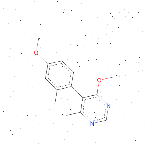 COc1ccc(-c2c(C)ncnc2OC)c(C)c1